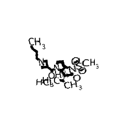 CCCCN1CC(C(=O)N2CC=C3[C@H]2[C@@H](C(C)C)C(=O)N3S(C)(=O)=O)C1.Cl